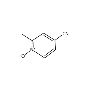 Cc1cc(C#N)cc[n+]1[O-]